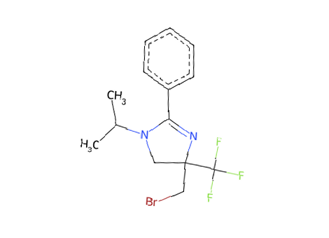 CC(C)N1CC(CBr)(C(F)(F)F)N=C1c1ccccc1